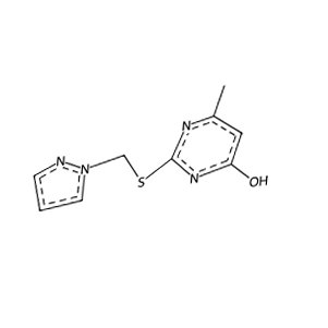 Cc1cc(O)nc(SCn2cccn2)n1